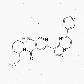 NCC1CCCCN1C(=O)c1cc(-c2cnn3ccc(-c4ccccc4)nc23)ncc1N